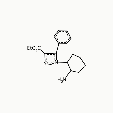 CCOC(=O)c1ncn(C2CCCCC2N)c1-c1ccccc1